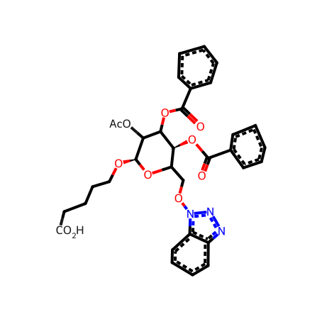 CC(=O)OC1C(OC(=O)c2ccccc2)[C@@H](OC(=O)c2ccccc2)C(COn2nnc3ccccc32)O[C@H]1OCCCCC(=O)O